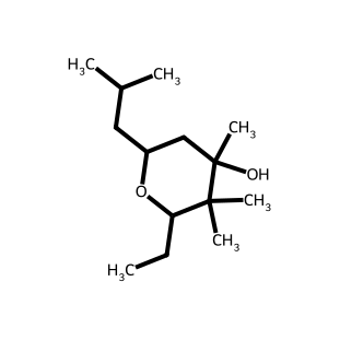 CCC1OC(CC(C)C)CC(C)(O)C1(C)C